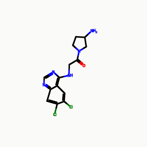 NC1CCN(C(=O)CNc2ncnc3cc(Cl)c(Cl)cc23)C1